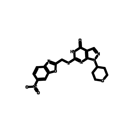 O=c1[nH]c(SCc2nc3ccc([N+](=O)[O-])cc3o2)nc2c1cnn2C1CCOCC1